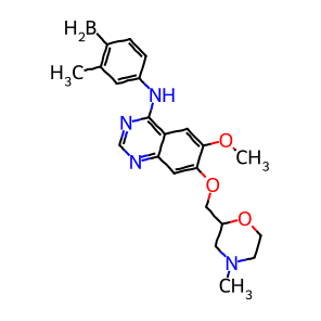 Bc1ccc(Nc2ncnc3cc(OCC4CN(C)CCO4)c(OC)cc23)cc1C